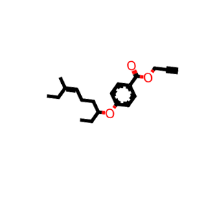 C#CCOC(=O)c1ccc(OC(CC)CCC=C(C)CC)cc1